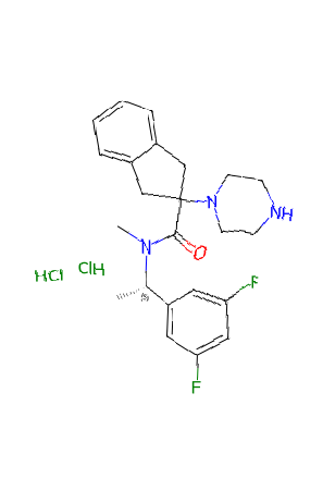 C[C@@H](c1cc(F)cc(F)c1)N(C)C(=O)C1(N2CCNCC2)Cc2ccccc2C1.Cl.Cl